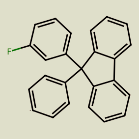 Fc1cccc(C2(c3cc[c]cc3)c3ccccc3-c3ccccc32)c1